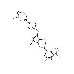 Cc1cc(N2CCc3c(c(C)nn3CC34CCC(N5CCOC(C)C5)(CC3)CC4)C2)c2cnn(C)c2n1